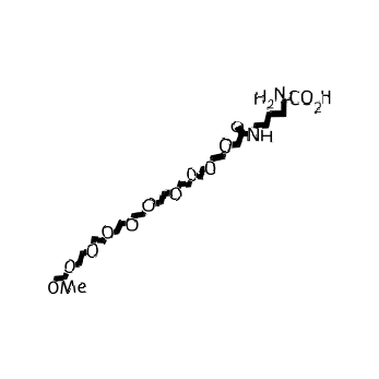 COCCOCCOCCOCCOCCOCCOCCOCCOCCOCC(=O)NCCCC[C@H](N)C(=O)O